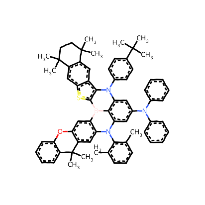 Cc1cccc(C)c1N1c2cc3c(cc2B2c4sc5cc6c(cc5c4N(c4ccc(C(C)(C)C)cc4)c4cc(N(c5ccccc5)c5ccccc5)cc1c42)C(C)(C)CCC6(C)C)Oc1ccccc1C3(C)C